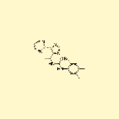 Cc1cc(NC(=O)NC(C)c2ncnn2-c2ncccn2)c(Br)cc1I